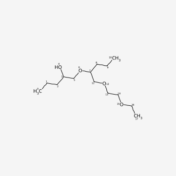 CCCC(O)COC(CCC)COCCOCC